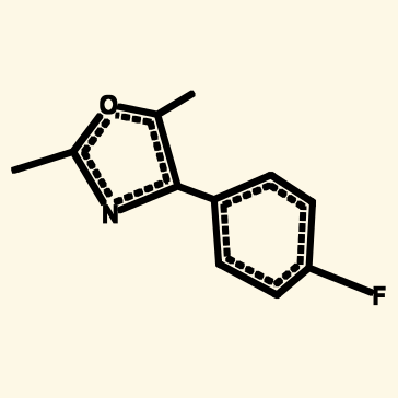 Cc1nc(-c2ccc(F)cc2)c(C)o1